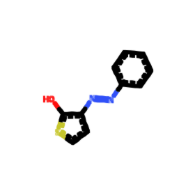 Oc1sccc1/N=N/c1ccccc1